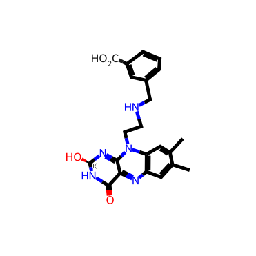 Cc1cc2c(cc1C)N(CCNCc1cccc(C(=O)O)c1)C1=N[C@H](O)NC(=O)C1=N2